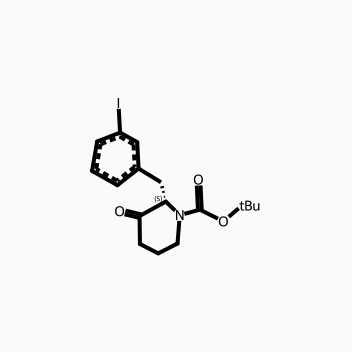 CC(C)(C)OC(=O)N1CCCC(=O)[C@@H]1Cc1cccc(I)c1